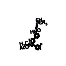 CC(=O)OC(C)n1cc(-c2ccnc(F)c2)c2cc(-c3cccc(NC(=O)/C=C/CN(C)C)c3)cnc21